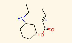 C/C=C/C(=O)O.CCNC1CCCCC1